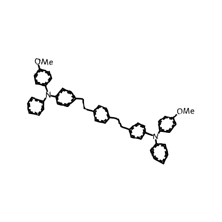 COc1ccc(N(c2ccccc2)c2ccc(CCc3ccc(CCc4ccc(N(c5ccccc5)c5ccc(OC)cc5)cc4)cc3)cc2)cc1